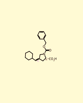 O=C(O)[C@@H]1C/C(=C/C2CCCCC2)CN1C(=O)OCc1ccccc1